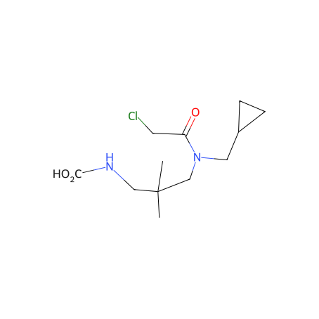 CC(C)(CNC(=O)O)CN(CC1CC1)C(=O)CCl